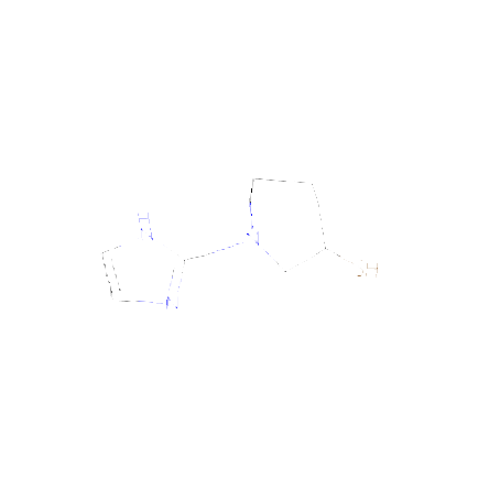 SC1CCN(c2ncc[nH]2)C1